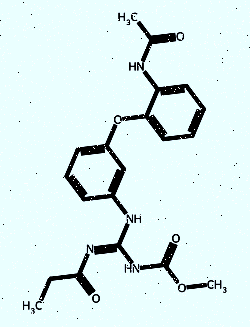 CCC(=O)N=C(NC(=O)OC)Nc1cccc(Oc2ccccc2NC(C)=O)c1